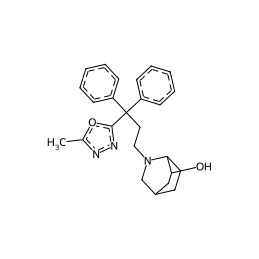 Cc1nnc(C(CCN2CC3CCC2C(O)C3)(c2ccccc2)c2ccccc2)o1